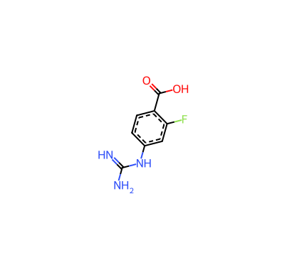 N=C(N)Nc1ccc(C(=O)O)c(F)c1